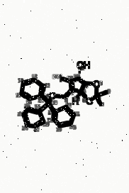 CC1(C)OC2[C@H](O1)C(COC(c1ccccc1)(c1ccccc1)c1ccccc1)=C(I)[C@@H]2O